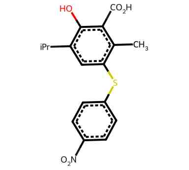 Cc1c(Sc2ccc([N+](=O)[O-])cc2)cc(C(C)C)c(O)c1C(=O)O